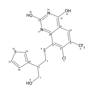 OCC(CSc1c(Cl)c(C(F)(F)F)cc2c(O)nc(O)nc12)c1ccsc1